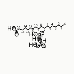 CCCCCCCCCCCCCCCCCC(=O)O.[O]=[Sn]([OH])[OH].[O]=[Sn]([OH])[O]O